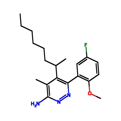 CCCCCCC(C)c1c(-c2cc(F)ccc2OC)nnc(N)c1C